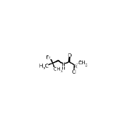 CCC(C)(C)CNC(=O)[C@H](C)Cl